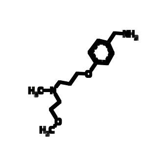 COCCN(C)CCCOc1ccc(CN)cc1